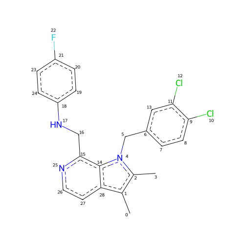 Cc1c(C)n(Cc2ccc(Cl)c(Cl)c2)c2c(CNc3ccc(F)cc3)nccc12